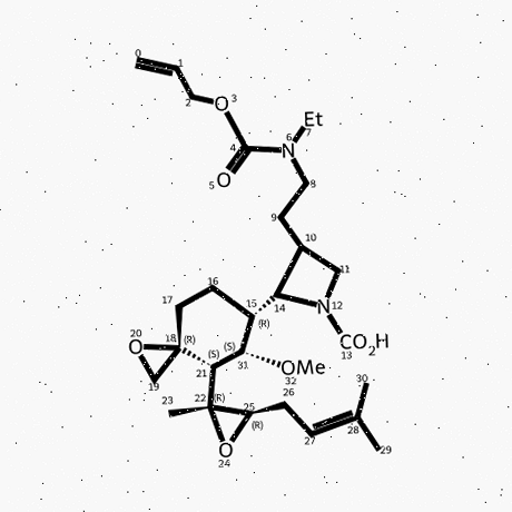 C=CCOC(=O)N(CC)CCC1CN(C(=O)O)C1[C@H]1CC[C@]2(CO2)[C@@H]([C@@]2(C)O[C@@H]2CC=C(C)C)[C@H]1OC